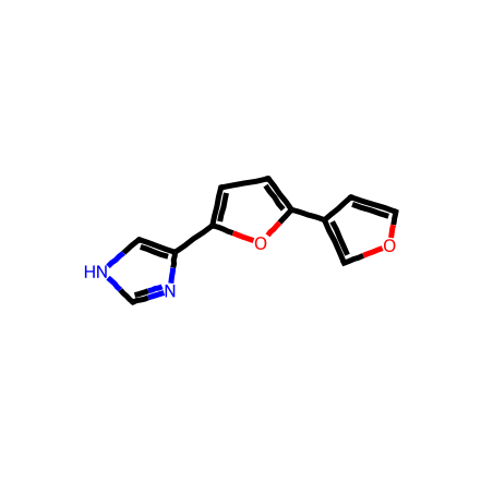 c1nc(-c2ccc(-c3ccoc3)o2)c[nH]1